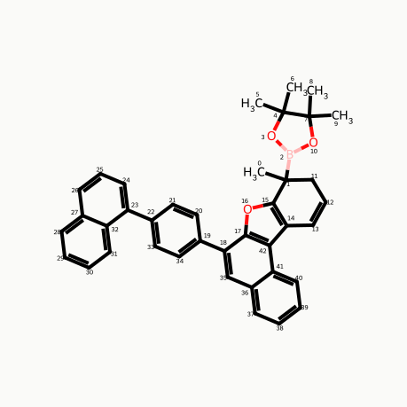 CC1(B2OC(C)(C)C(C)(C)O2)CC=Cc2c1oc1c(-c3ccc(-c4cccc5ccccc45)cc3)cc3ccccc3c21